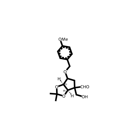 COc1ccc(COC2CC(C=O)(CO)[C@H]3OC(C)(C)O[C@@H]23)cc1